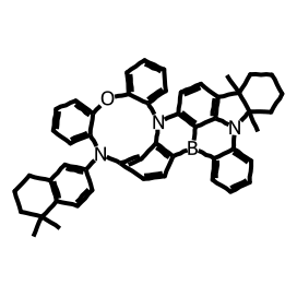 CC1(C)CCCc2cc(N3c4ccc5c(c4)N(c4ccccc4Oc4ccccc43)c3ccc4c6c3B5c3ccccc3N6C3(C)CCCCC43C)ccc21